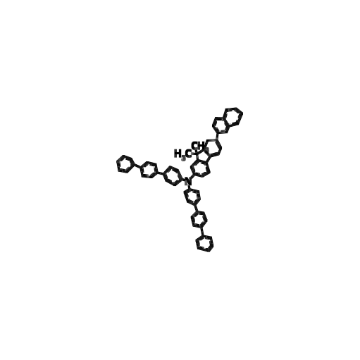 CC1(C)c2cc(N(c3ccc(-c4ccc(-c5ccccc5)cc4)cc3)c3ccc(-c4ccc(-c5ccccc5)cc4)cc3)ccc2C2=CC=C(c3ccc4ccccc4c3)CC21